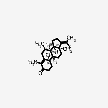 CC(F)=C1CC[C@H]2[C@@H]3[C@H](C)CC4=C(N)C(=O)CC[C@]4(C)[C@H]3CC[C@]12C